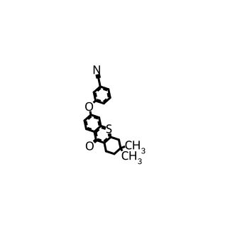 CC1(C)CCc2c(sc3cc(Oc4cccc(C#N)c4)ccc3c2=O)C1